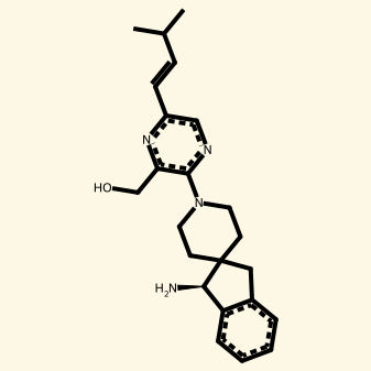 CC(C)C=Cc1cnc(N2CCC3(CC2)Cc2ccccc2[C@H]3N)c(CO)n1